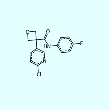 O=C(Nc1ccc(F)cc1)C1(c2ccc(Cl)nc2)COC1